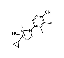 Cc1c(N2CC[C@@](O)(C3CC3)[C@@H]2C)ccc(C#N)c1F